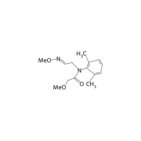 COCC(=O)N(CC=NOC)c1c(C)cccc1C